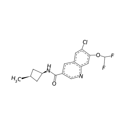 C[C@H]1C[C@@H](NC(=O)c2cnc3cc(OC(F)F)c(Cl)cc3c2)C1